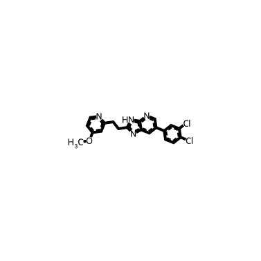 COc1ccnc(CCc2nc3cc(-c4ccc(Cl)c(Cl)c4)cnc3[nH]2)c1